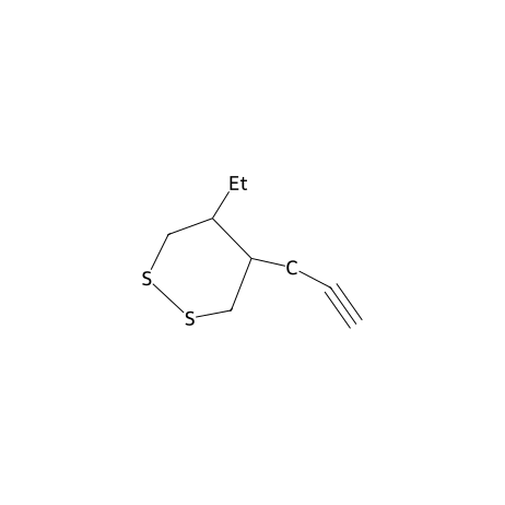 C#CCC1CSSCC1CC